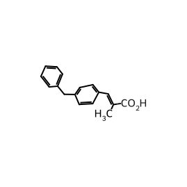 CC(=Cc1ccc(Cc2ccccc2)cc1)C(=O)O